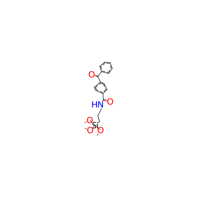 CO[Si](CCCNC(=O)c1ccc(C(=O)c2ccccc2)cc1)(OC)OC